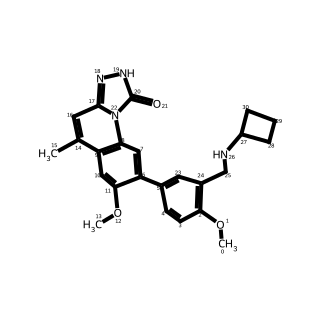 COc1ccc(-c2cc3c(cc2OC)c(C)cc2n[nH]c(=O)n23)cc1CNC1CCC1